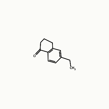 CCc1ccc2c(c1)CCCC2=O